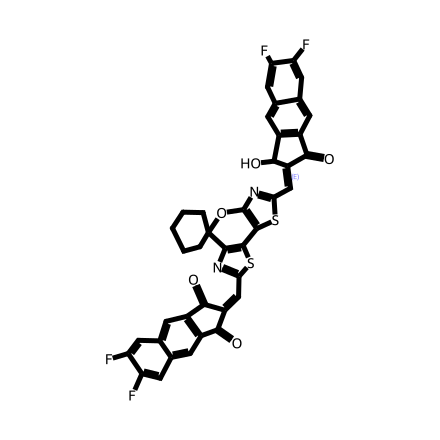 O=C1C(=Cc2nc3c(s2)-c2sc(/C=C4/C(=O)c5cc6cc(F)c(F)cc6cc5C4O)nc2OC32CCCCC2)C(=O)c2cc3cc(F)c(F)cc3cc21